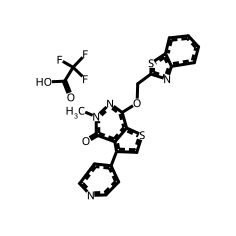 Cn1nc(OCc2nc3ccccc3s2)c2scc(-c3ccncc3)c2c1=O.O=C(O)C(F)(F)F